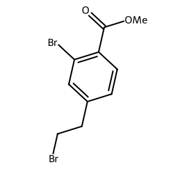 COC(=O)c1ccc(CCBr)cc1Br